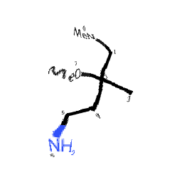 CNCC(C)(CCN)OC